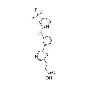 O=C(O)CCc1cncc(-c2cccc(Nc3nccc(C(F)(F)F)n3)c2)n1